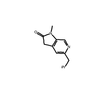 CC(C)Cc1cc2c(cn1)N(C)C(=O)C2